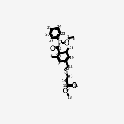 CCOP(C(=O)C1C(C)=CC(CSCCC(=O)OC)=CC1C)c1ccccc1